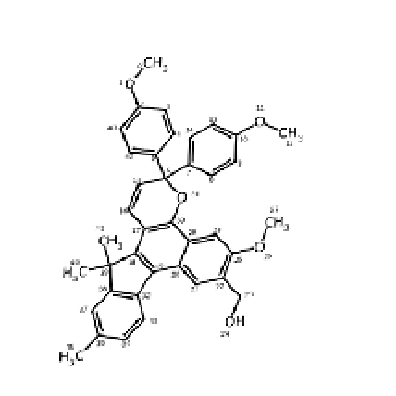 COc1ccc(C2(c3ccc(OC)cc3)C=Cc3c4c(c5cc(CO)c(OC)cc5c3O2)-c2ccc(C)cc2C4(C)C)cc1